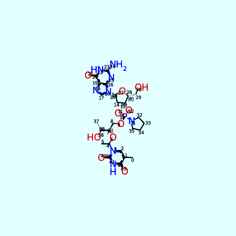 Cc1cn(C(C)O[C@H](COP(=O)(O[C@@H]2C[C@H](n3cnc4c(=O)[nH]c(N)nc43)O[C@@H]2CO)N2CCCC2)[C@@H](C)O)c(=O)[nH]c1=O